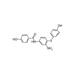 Nc1cc(NC(=O)c2ccc(O)cc2)ccc1Sc1ccc(O)cc1